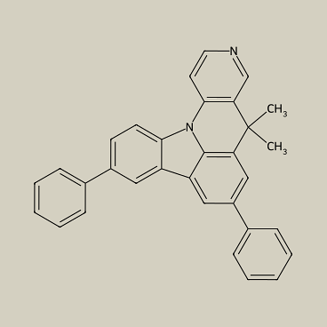 CC1(C)c2cnccc2-n2c3ccc(-c4ccccc4)cc3c3cc(-c4ccccc4)cc1c32